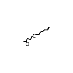 C=CCCCCCCCCCC(C)=O